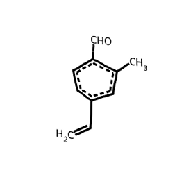 C=Cc1ccc(C=O)c(C)c1